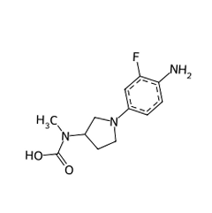 CN(C(=O)O)C1CCN(c2ccc(N)c(F)c2)C1